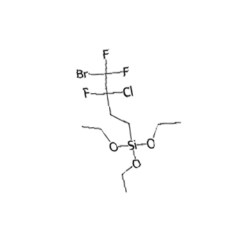 CCO[Si](CCC(F)(Cl)C(F)(F)Br)(OCC)OCC